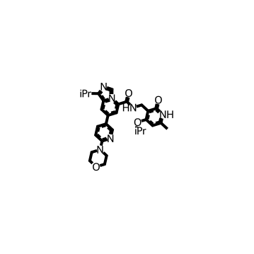 Cc1cc(OC(C)C)c(CNC(=O)c2cc(-c3ccc(N4CCOCC4)nc3)cc3c(C(C)C)ncn23)c(=O)[nH]1